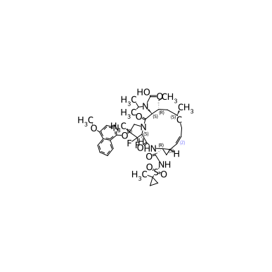 CC[C@@H]1C[C@@H](C)CC/C=C\[C@@H]2C[C@@]2(C(=O)NS(=O)(=O)C2(C)CC2)NC(=O)[C@@H]2N(C[C@@](C)(Oc3ncc(OC)c4ccccc34)C2(F)F)C(=O)[C@H]1N(C(=O)O)C(C)C